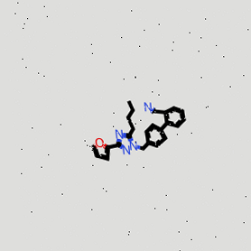 CCCCc1nc(-c2ccco2)nn1Cc1ccc(-c2ccccc2C#N)cc1